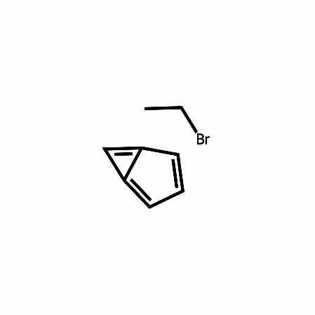 CCBr.c1cc2cc-2c1